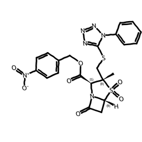 C[C@]1(CSc2nnnn2-c2ccccc2)[C@H](C(=O)OCc2ccc([N+](=O)[O-])cc2)N2C(=O)C[C@H]2S1(=O)=O